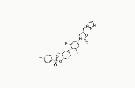 Cc1ccc(S(=O)(=O)OC2CCN(c3c(F)cc(N4CC(Cn5ccnn5)OC4=O)cc3F)CC2F)cc1